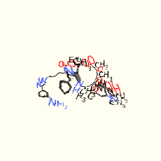 CC[C@H]1OC(=O)[C@H](C)C(=O)[C@H](C)[C@@H](O[C@@H]2OC(C)CC(N(C)C)C2O)[C@](C)(OC)C[C@@H](C)CN[C@H](Cc2ccccc2)[C@H]2N(CCCCn3cc(-c4cccc(N)c4)nn3)C(=O)O[C@]12C